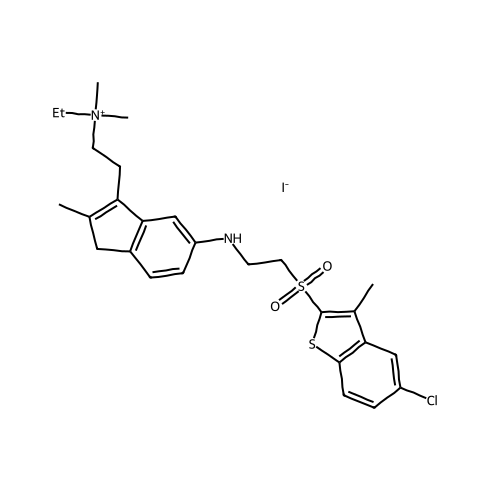 CC[N+](C)(C)CCC1=C(C)Cc2ccc(NCCS(=O)(=O)c3sc4ccc(Cl)cc4c3C)cc21.[I-]